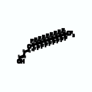 OC=CCCOC(F)(F)C(F)(F)C(F)(F)C(F)(F)C(F)(F)C(F)(F)C(F)(F)C(F)(F)C(F)(F)C(F)(F)F